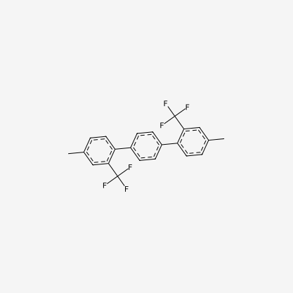 Cc1ccc(-c2ccc(-c3ccc(C)cc3C(F)(F)F)cc2)c(C(F)(F)F)c1